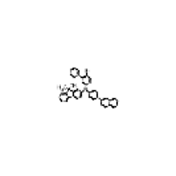 CC1(C)c2ccccc2-c2ccc(N(c3ccc(-c4ccc5ccccc5c4)cc3)c3ccc(Br)c(-c4ccccc4)c3)cc21